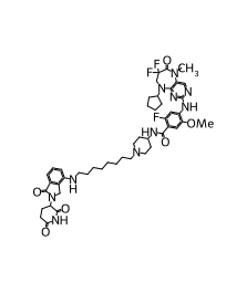 COc1cc(C(=O)NC2CCN(CCCCCCCCNc3cccc4c3CN(C3CCC(=O)NC3=O)C4=O)CC2)c(F)cc1Nc1ncc2c(n1)N(C1CCCC1)CC(F)(F)C(=O)N2C